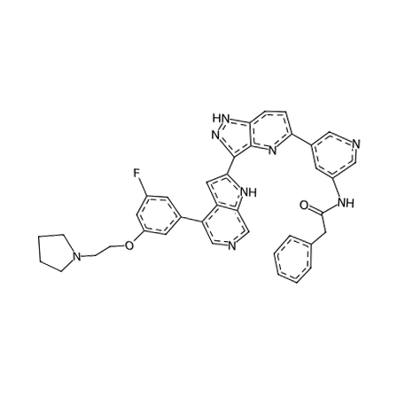 O=C(Cc1ccccc1)Nc1cncc(-c2ccc3[nH]nc(-c4cc5c(-c6cc(F)cc(OCCN7CCCC7)c6)cncc5[nH]4)c3n2)c1